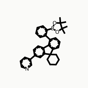 CC1(C)OB(c2ccccc2-c2cccc3c2-c2ccc(-c4cccnc4)cc2C32CCCCC2)OC1(C)C